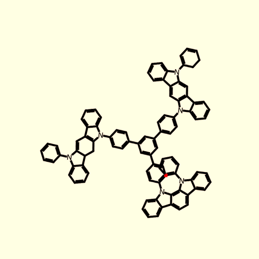 C1=CCCC(n2c3ccccc3c3cc4c(cc32)c2ccccc2n4-c2ccc(-c3cc(-c4ccc(-n5c6c(c7ccccc75)C=C5C(C6)c6ccccc6N5c5ccccc5)cc4)cc(-c4ccc(-n5c6ccccc6c6ccc7c8ccccc8n(-c8ccccc8)c7c65)cc4)c3)cc2)=C1